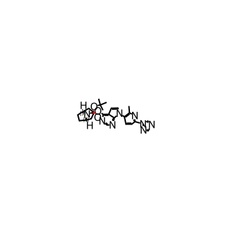 Cc1nc(-n2cncn2)ccc1-n1ccc2c(OC3C[C@@H]4CC[C@@H](C3)N4C(=O)OC(C)(C)C)ncnc21